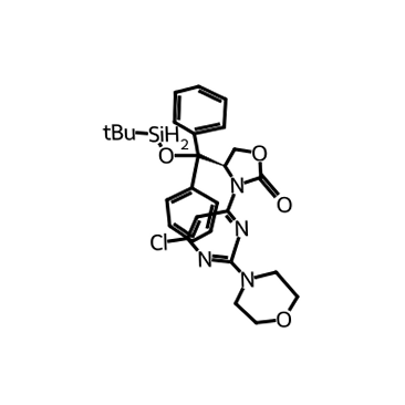 CC(C)(C)[SiH2]OC(c1ccccc1)(c1ccccc1)[C@H]1COC(=O)N1c1cc(Cl)nc(N2CCOCC2)n1